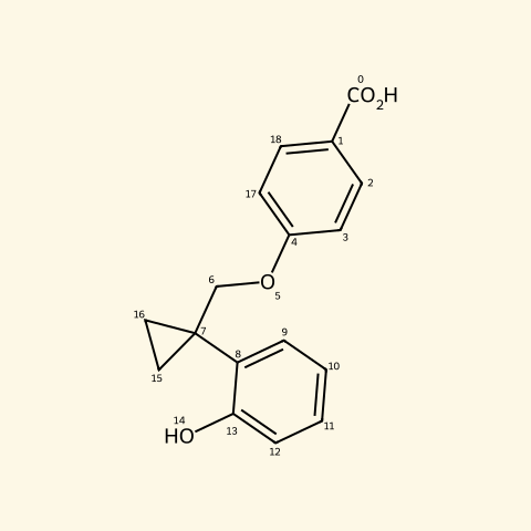 O=C(O)c1ccc(OCC2(c3ccccc3O)CC2)cc1